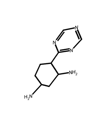 NC1CCC(c2ncncn2)C(N)C1